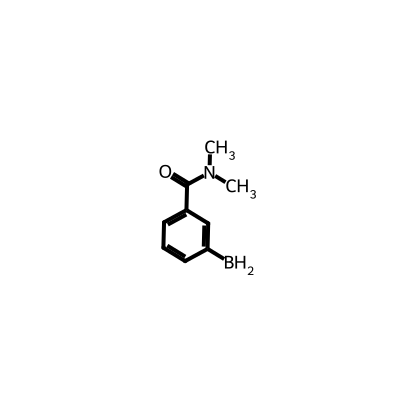 Bc1cccc(C(=O)N(C)C)c1